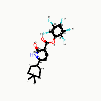 CC1(C)CCC(c2ccc(C(=O)Oc3c(F)c(F)c(F)c(F)c3F)c(=O)[nH]2)CC1